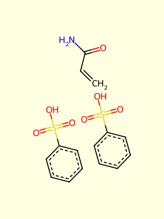 C=CC(N)=O.O=S(=O)(O)c1ccccc1.O=S(=O)(O)c1ccccc1